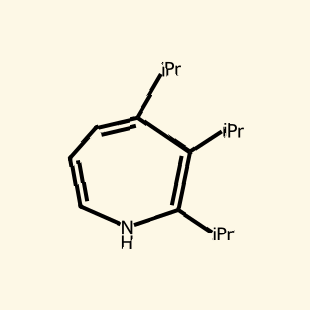 CC(C)C1=CC=CNC(C(C)C)=C1C(C)C